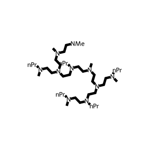 CCCN(C)CCN(CCC)CCN(CCN(C)CCC)CCN(C)CCN(CCC)CCN(CCN(C)CCC)CCN(C)CCNC